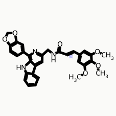 COc1cc(/C=C/C(=O)NCc2cc3c([nH]c4ccccc43)c(-c3ccc4c(c3)OCO4)n2)cc(OC)c1OC